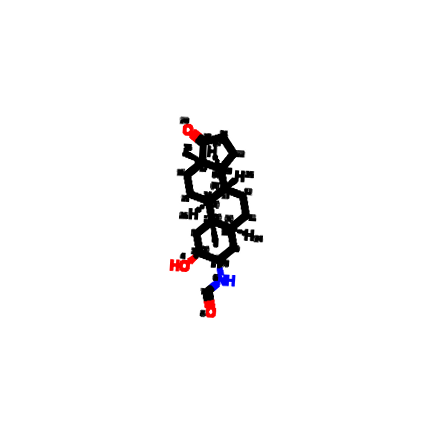 C[C@]12C[C@H](O)[C@H](NC=O)C[C@@H]1CC[C@@H]1[C@@H]2CC[C@]2(C)C(=O)CC[C@@H]12